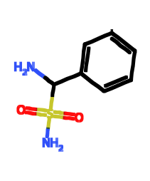 NC(c1c[c]ccc1)S(N)(=O)=O